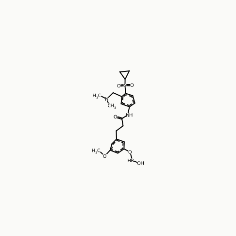 COc1cc(CCC(=O)Nc2ccc(S(=O)(=O)C3CC3)c(CN(C)C)c2)cc(OBO)c1